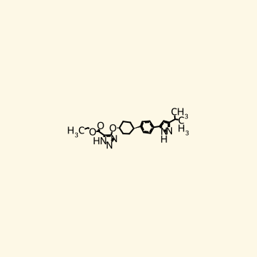 CCOC(=O)c1[nH]nnc1O[C@H]1CC[C@H](c2ccc(-c3cc(C(C)C)n[nH]3)cc2)CC1